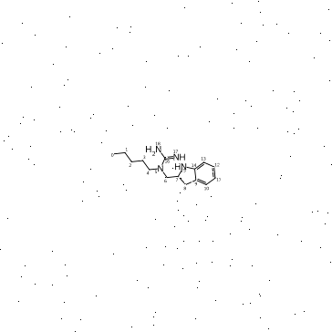 CCCCCN(CC1Cc2ccccc2N1)C(=N)N